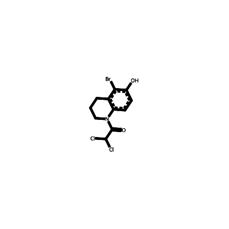 O=C(C(Cl)Cl)N1CCCc2c1ccc(O)c2Br